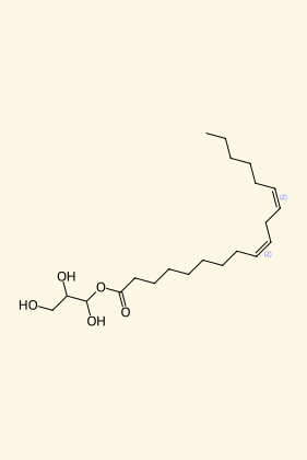 CCCCC/C=C\C/C=C\CCCCCCCC(=O)OC(O)C(O)CO